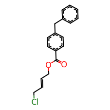 O=C(OC/C=C/CCl)c1ccc(Cc2ccccc2)cc1